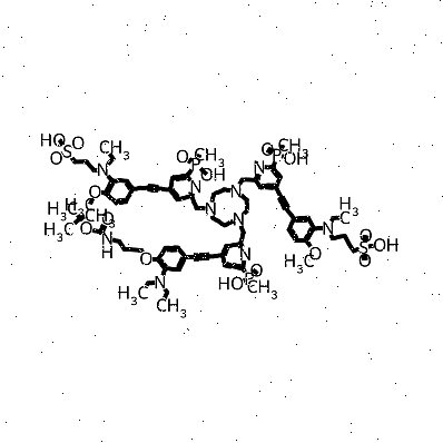 CCN(CCCS(=O)(=O)O)c1cc(C#Cc2cc(CN3CCN(Cc4cc(C#Cc5ccc(OC)c(N(CC)CCCS(=O)(=O)O)c5)cc(P(C)(=O)O)n4)CCN(Cc4cc(C#Cc5ccc(OCCCNC(=O)OC(C)(C)C)c(N(CC)CC)c5)cc(P(C)(=O)O)n4)CC3)nc(P(C)(=O)O)c2)ccc1OC